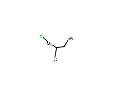 CCCC[CH](CC)[Mg][Cl]